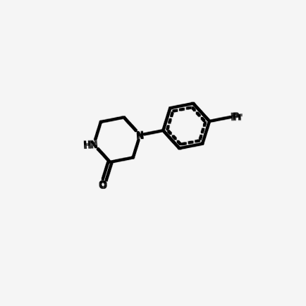 CC(C)c1ccc(N2CCNC(=O)C2)cc1